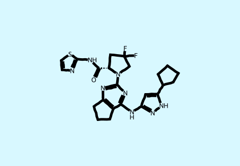 O=C(Nc1nccs1)[C@@H]1CC(F)(F)CN1c1nc2c(c(Nc3cc(C4CCCC4)[nH]n3)n1)CCC2